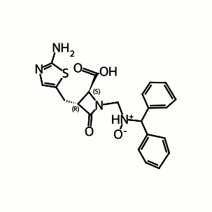 Nc1ncc(C[C@H]2C(=O)N(C[NH+]([O-])C(c3ccccc3)c3ccccc3)[C@@H]2C(=O)O)s1